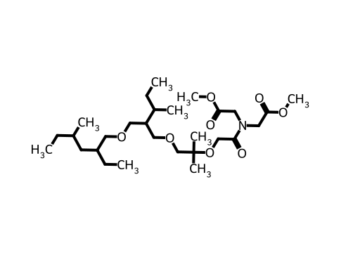 CCC(C)CC(CC)COCC(COCC(C)(C)OCC(=O)N(CC(=O)OC)CC(=O)OC)C(C)CC